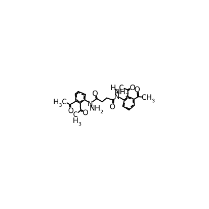 CC(=O)c1cccc(N(N)C(=O)CCC(=O)N(N)c2cccc(C(C)=O)c2C(C)=O)c1C(C)=O